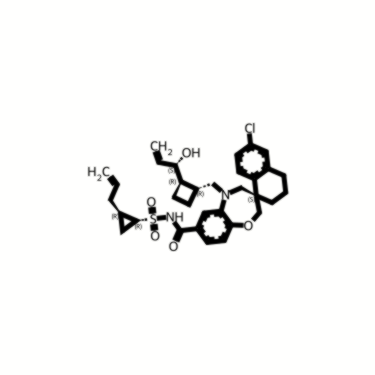 C=CC[C@@H]1C[C@H]1S(=O)(=O)NC(=O)c1ccc2c(c1)N(C[C@@H]1CC[C@H]1[C@@H](O)C=C)C[C@@]1(CCCc3cc(Cl)ccc31)CO2